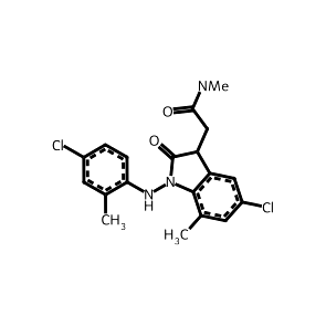 CNC(=O)CC1C(=O)N(Nc2ccc(Cl)cc2C)c2c(C)cc(Cl)cc21